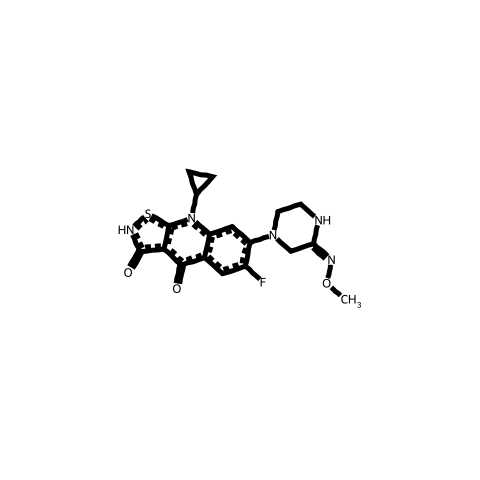 CON=C1CN(c2cc3c(cc2F)c(=O)c2c(=O)[nH]sc2n3C2CC2)CCN1